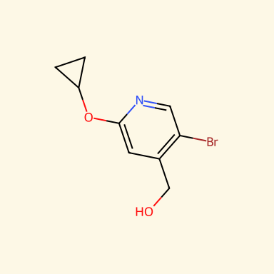 OCc1cc(OC2CC2)ncc1Br